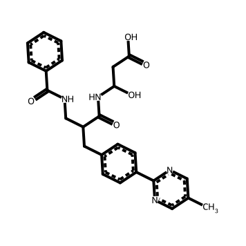 Cc1cnc(-c2ccc(CC(CNC(=O)c3ccccc3)C(=O)NC(O)CC(=O)O)cc2)nc1